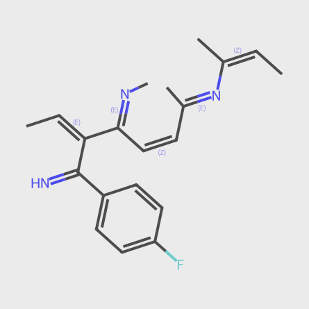 C\C=C(C)/N=C(C)/C=C\C(=N/C)C(=C\C)\C(=N)c1ccc(F)cc1